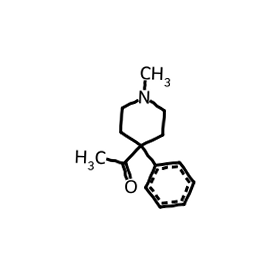 CC(=O)C1(c2ccccc2)CCN(C)CC1